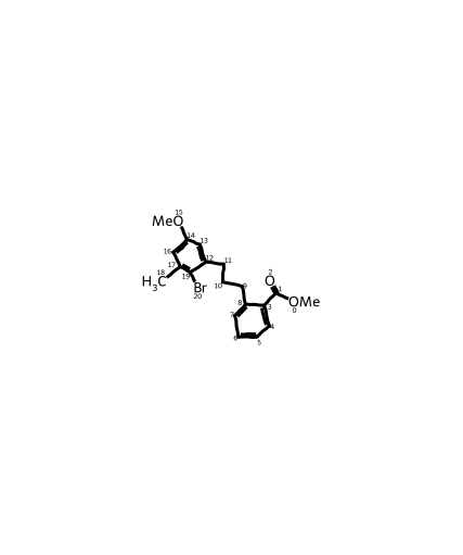 COC(=O)c1ccccc1CCCc1cc(OC)cc(C)c1Br